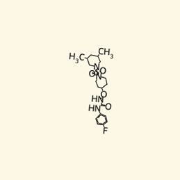 CC1CC(C)CN(S(=O)(=O)N2CCC(ONC(=O)Nc3ccc(F)cc3)CC2)C1